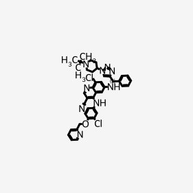 CC(C)(C)N1CCC(n2cc([C@@H](Nc3cc(Cl)c4ncc(C#N)c(Nc5ccc(OCc6ccccn6)c(Cl)c5)c4c3)c3ccccc3)nn2)CC1